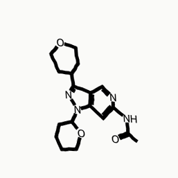 CC(=O)Nc1cc2c(cn1)c(C1CCOCC1)nn2C1CCCCO1